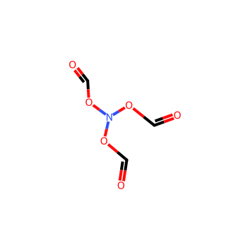 O=CON(OC=O)OC=O